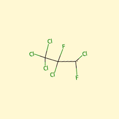 F[C](Cl)C(F)(Cl)C(Cl)(Cl)Cl